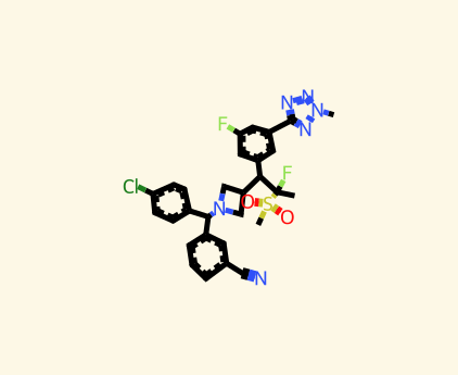 Cn1nnc(-c2cc(F)cc(C(C3CN(C(c4ccc(Cl)cc4)c4cccc(C#N)c4)C3)C(C)(F)S(C)(=O)=O)c2)n1